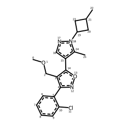 COCc1c(-c2ccccc2Cl)noc1-c1cnn(C2CC(C)C2)c1C